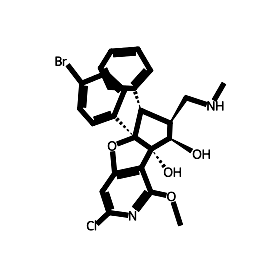 CNC[C@H]1[C@@H](O)[C@@]2(O)c3c(cc(Cl)nc3OC)O[C@@]2(c2ccc(Br)cc2)[C@@H]1c1ccccc1